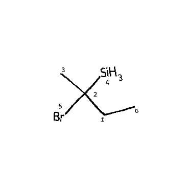 CCC(C)([SiH3])Br